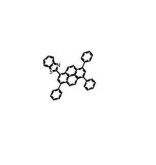 c1ccc(-c2cc(-c3ccccc3)c3ccc4c(-c5nc6ccccc6s5)cc(-c5ccccc5)c5ccc2c3c54)cc1